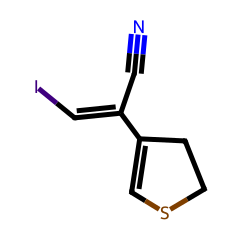 N#C/C(=C\I)C1=CSCC1